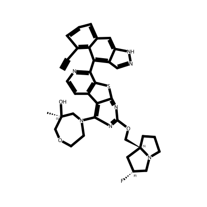 C#Cc1cccc2cc3[nH]ncc3c(-c3nccc4c3sc3nc(OC[C@@]56CCCN5C[C@H](F)C6)nc(N5CCOC[C@@](C)(O)C5)c34)c12